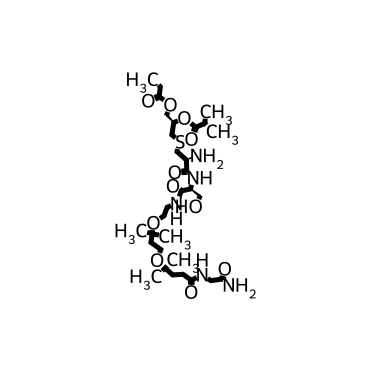 CCC(=O)OC[C@H](CSC[C@H](N)C(=O)N[C@@H](CO)C(=O)NCCOC(C)(C)CCOC(C)(C)CCC(=O)NCC(N)=O)OC(=O)C(C)C